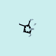 Cc1cc[nH][c]1[Ir+2].[F-].[F-]